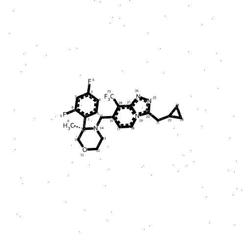 C[C@@]1(c2ccc(F)cc2F)COCCN1Cc1ccn2c(CC3CC3)nnc2c1C(F)(F)F